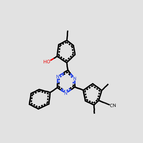 Cc1ccc(-c2nc(-c3ccccc3)nc(-c3cc(C)c(C#N)c(C)c3)n2)c(O)c1